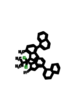 CC1=Cc2c(-c3cccc4ccccc34)ccc(C)c2[CH]1[Zr]([Cl])([Cl])([CH]1C(C(C)C)=Cc2c(-c3cccc4ccccc34)cccc21)[SiH](C)C